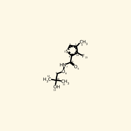 Cc1csc(C(=O)NOCC(C)(C)O)c1F